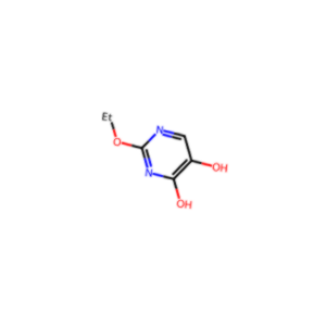 CCOc1ncc(O)c(O)n1